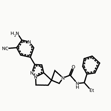 CCC(NC(=O)N1CC2(CCn3nc(-c4cnc(N)c(C#N)c4)cc32)C1)c1ccccc1